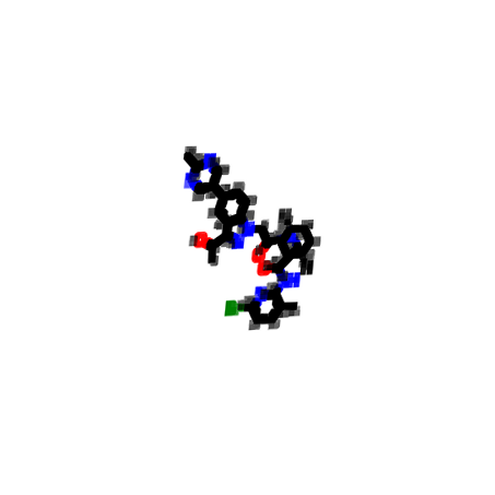 CC(=O)c1nn(CC(=O)N2C(C(=O)Nc3nc(Br)ccc3C)[C@H]3CC[C@@H]2CC3)c2ccc(-c3cnc(C)nc3)cc12